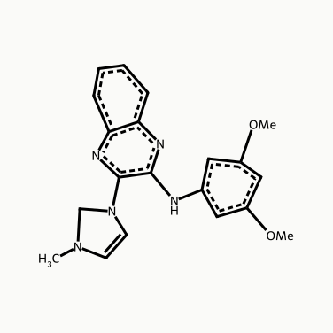 COc1cc(Nc2nc3ccccc3nc2N2C=CN(C)C2)cc(OC)c1